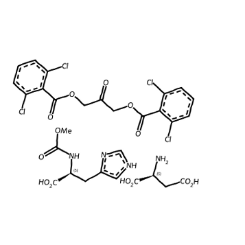 COC(=O)N[C@@H](Cc1c[nH]cn1)C(=O)O.N[C@@H](CC(=O)O)C(=O)O.O=C(COC(=O)c1c(Cl)cccc1Cl)COC(=O)c1c(Cl)cccc1Cl